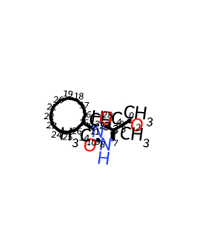 CC(=O)C(C)(C)c1c[nH]c(=O)n(C(C)(C)C2CCCCCCCCCCC2)c1=O